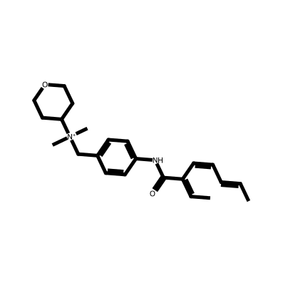 C/C=C/C=C\C(=C/C)C(=O)Nc1ccc(C[N+](C)(C)C2CCOCC2)cc1